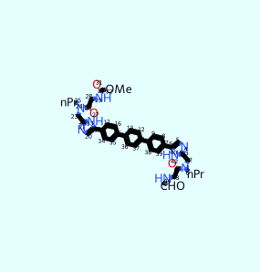 CCCN(Cc1ncc(-c2ccc(-c3ccc(-c4ccc(-c5cnc(CN(CCC)C(=O)CNC(=O)OC)[nH]5)cc4)cc3)cc2)[nH]1)C(=O)CNC=O